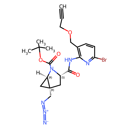 C#CCOCc1ccc(Br)nc1NC(=O)[C@@H]1C[C@@]2(CN=[N+]=[N-])C[C@H]2N1C(=O)OC(C)(C)C